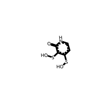 O=c1[nH]ccc(SO)c1SO